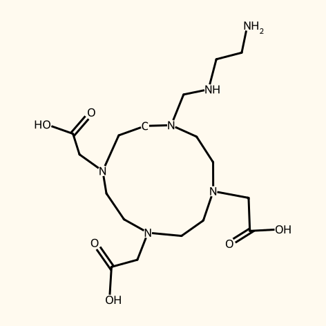 NCCNCN1CCN(CC(=O)O)CCN(CC(=O)O)CCN(CC(=O)O)CC1